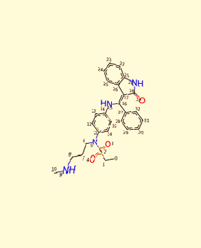 CCS(=O)(=O)N(CCCNC)c1ccc(NC(=C2C(=O)Nc3ccccc32)c2ccccc2)cc1